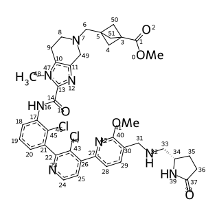 COC(=O)C12CC(CN3CCc4c(nc(C(=O)Nc5cccc(-c6nccc(-c7ccc(CNC[C@@H]8CCC(=O)N8)c(OC)n7)c6Cl)c5Cl)n4C)C3)(C1)C2